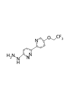 NNc1ccc(-c2ccc(OCC(F)(F)F)cn2)nn1